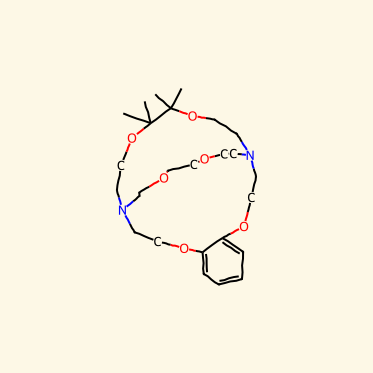 CC1(C)OCCN2CCOCCOCCN(CCOc3ccccc3OCC2)CCOC1(C)C